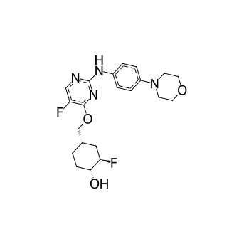 O[C@@H]1CC[C@H](COc2nc(Nc3ccc(N4CCOCC4)cc3)ncc2F)C[C@H]1F